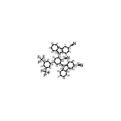 N#Cc1ccc2c(c1)c1ccccc1n2-c1cc(-c2cc(C(F)(F)F)cc(C(F)(F)F)c2)cc(-n2c3ccccc3c3cc(C#N)ccc32)c1C#N